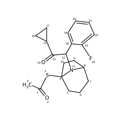 CC(=O)SC12CCCC(CC1)N2C(C(=O)C1CC1)c1ccccc1F